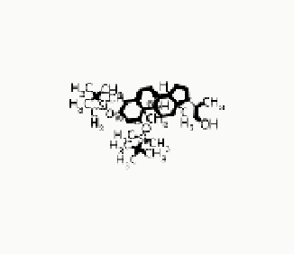 CC(CO)[C@H]1CC[C@H]2C3=CC=C4C[C@@H](O[Si](C)(C)C(C)(C)C)C[C@H](O[Si](C)(C)C(C)(C)C)[C@]4(C)[C@H]3CC[C@]12C